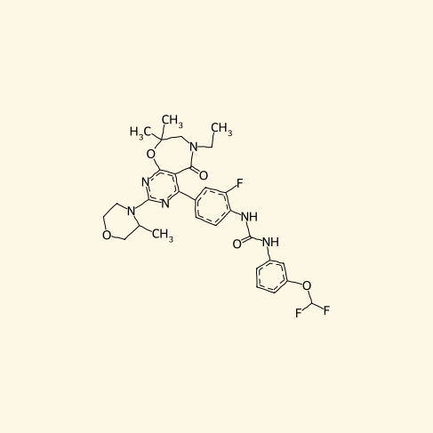 CCN1CC(C)(C)Oc2nc(N3CCOCC3C)nc(-c3ccc(NC(=O)Nc4cccc(OC(F)F)c4)c(F)c3)c2C1=O